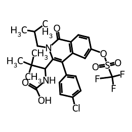 CC(C)Cn1c(C(NC(=O)O)C(C)(C)C)c(-c2ccc(Cl)cc2)c2cc(OS(=O)(=O)C(F)(F)F)ccc2c1=O